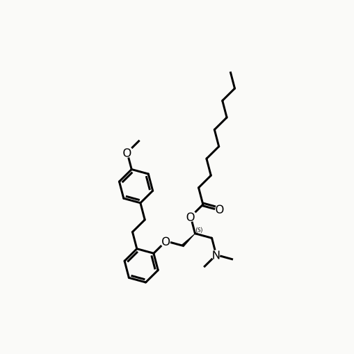 CCCCCCCCCC(=O)O[C@H](COc1ccccc1CCc1ccc(OC)cc1)CN(C)C